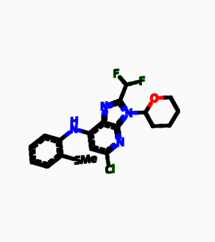 CSc1ccccc1Nc1cc(Cl)nc2c1nc(C(F)F)n2C1CCCCO1